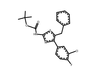 CC(C)(C)OC(=O)Nc1nc(-c2ccc(F)c(Cl)c2)c(Cc2ccccc2)s1